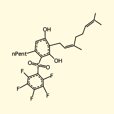 CCCCCc1cc(O)c(CC=C(C)CCC=C(C)C)c(O)c1S(=O)(=O)c1c(F)c(F)c(F)c(F)c1F